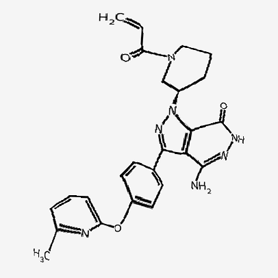 C=CC(=O)N1CCC[C@@H](n2nc(-c3ccc(Oc4cccc(C)n4)cc3)c3c(N)n[nH]c(=O)c32)C1